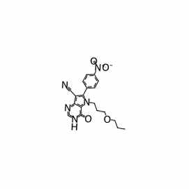 CCCOCCCn1c(-c2ccc([N+](=O)[O-])cc2)c(C#N)c2nc[nH]c(=O)c21